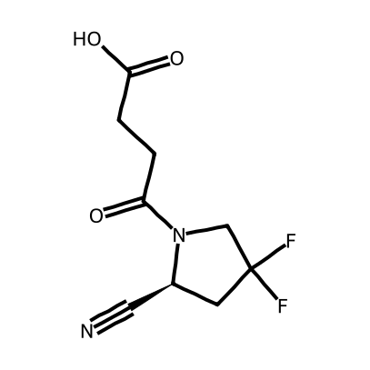 N#C[C@@H]1CC(F)(F)CN1C(=O)CCC(=O)O